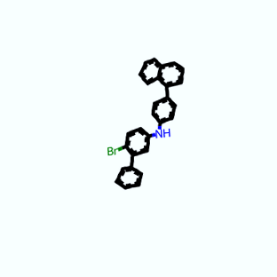 Brc1ccc(Nc2ccc(-c3cccc4ccccc34)cc2)cc1-c1ccccc1